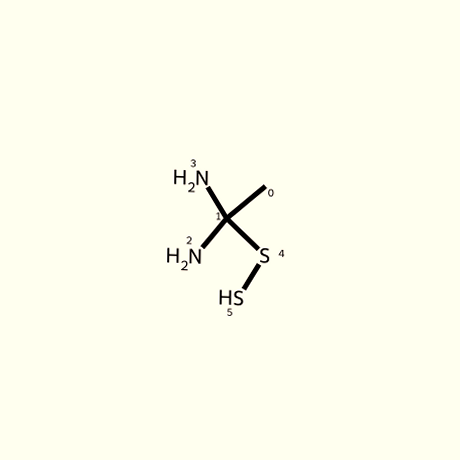 CC(N)(N)SS